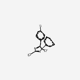 ClC1=NC(Cl)(c2ccccc2)C(c2ccc(Cl)cc2)=N1